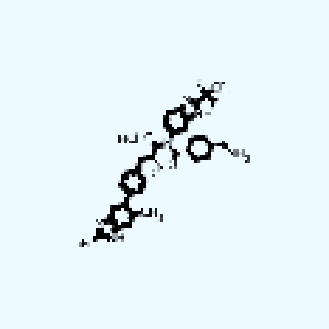 Cc1cc2[nH]c(C(C)C)nc2cc1-c1ccc(C[C@H](N)C(=O)N(c2ccc3nc(C(F)(F)C(F)(F)F)[nH]c3c2)C(=O)[C@H]2CC[C@H](CN)CC2)cc1.Cl